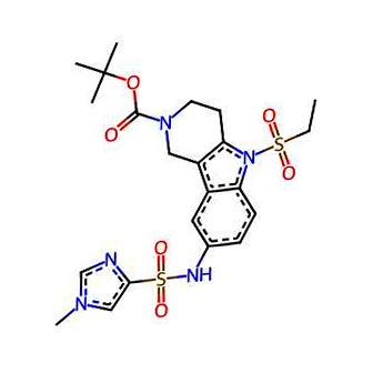 CCS(=O)(=O)n1c2c(c3cc(NS(=O)(=O)c4cn(C)cn4)ccc31)CN(C(=O)OC(C)(C)C)CC2